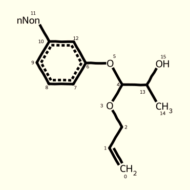 C=CCOC(Oc1cccc(CCCCCCCCC)c1)C(C)O